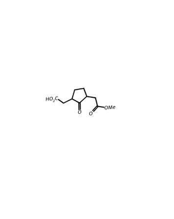 COC(=O)CC1CCC(CC(=O)O)C1=O